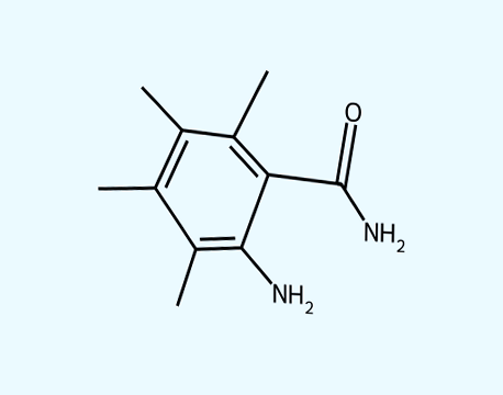 Cc1c(C)c(C)c(C(N)=O)c(N)c1C